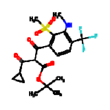 CNc1c(C(F)(F)F)ccc(C(=O)C(C(=O)OC(C)(C)C)C(=O)C2CC2)c1S(C)(=O)=O